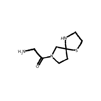 NCC(=O)N1CCC2(C1)NCCS2